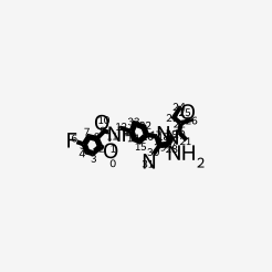 COc1ccc(F)cc1C(=O)NCc1ccc(-c2nn(C(C)C3CCOC3)c(N)c2C#N)cc1